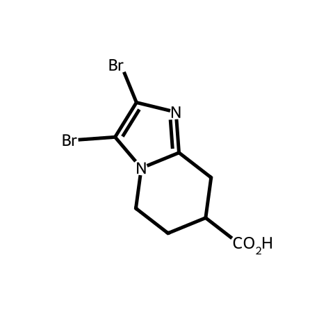 O=C(O)C1CCn2c(nc(Br)c2Br)C1